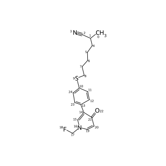 CC(C#N)CCCCCSc1ccc(-c2cn(CF)ccc2=O)cc1